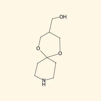 OCC1COC2(CCNCC2)OC1